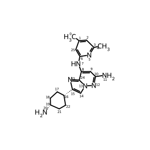 Cc1cc(C)nc(Nc2cc(N)nn3cc([C@H]4CC[C@@H](N)CC4)nc23)c1